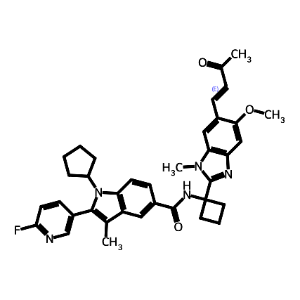 COc1cc2nc(C3(NC(=O)c4ccc5c(c4)c(C)c(-c4ccc(F)nc4)n5C4CCCC4)CCC3)n(C)c2cc1/C=C/C(C)=O